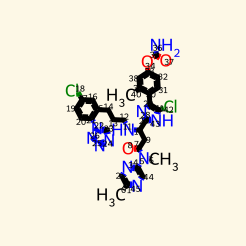 Cc1cnc(N(C)C(=O)CC(NCCCc2cc(Cl)ccc2-n2cnnn2)c2nc(-c3ccc(OC(N)=O)cc3C)c(Cl)[nH]2)cn1